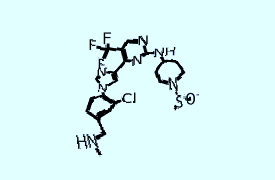 CNCc1ccc(-n2cnc(-c3nc(NC4CCN([S+](C)[O-])CC4)ncc3C(F)(F)F)c2)c(Cl)c1